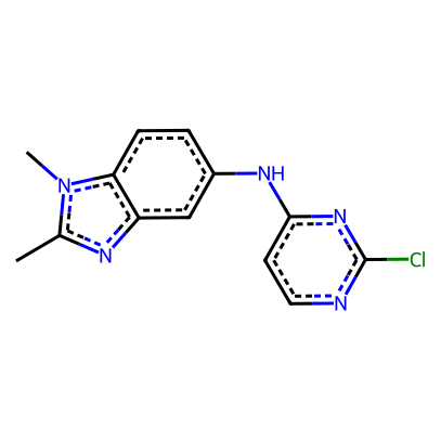 Cc1nc2cc(Nc3ccnc(Cl)n3)ccc2n1C